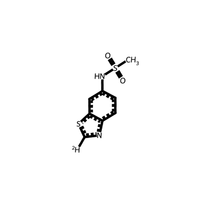 [2H]c1nc2ccc(NS(C)(=O)=O)cc2s1